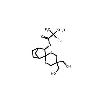 O=C(OC1C2CCC(C2)C12SCC(CO)(CO)CS2)C(C(F)(F)F)(C(F)(F)F)S(=O)(=O)O